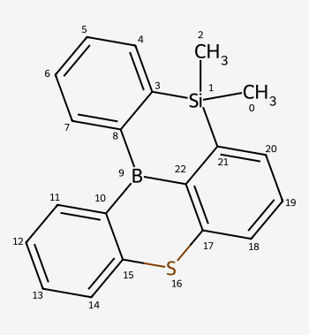 C[Si]1(C)c2ccccc2B2c3ccccc3Sc3cccc1c32